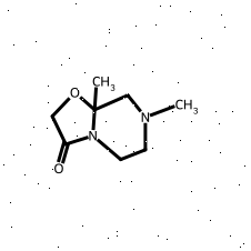 CN1CCN2C(=O)COC2(C)C1